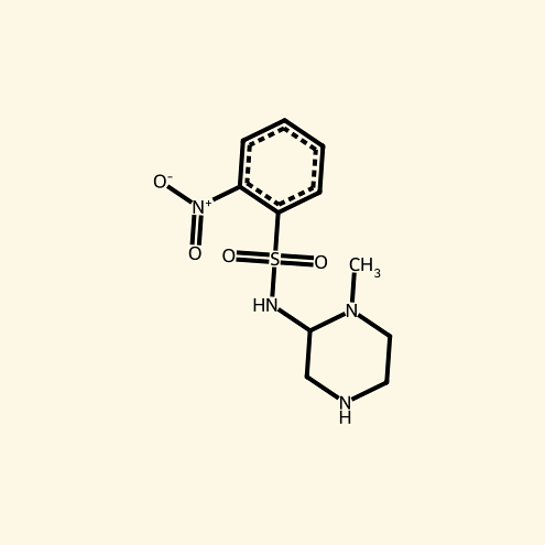 CN1CCNCC1NS(=O)(=O)c1ccccc1[N+](=O)[O-]